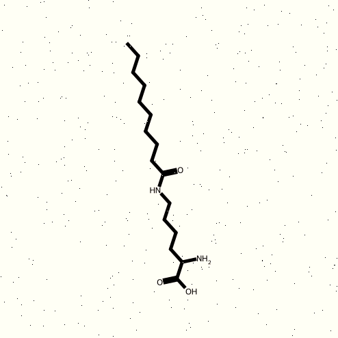 CCCCCCCCCC(=O)NCCCCC(N)C(=O)O